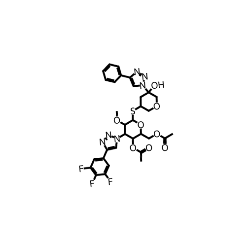 COC1C(SC2COCC(O)(n3cc(-c4ccccc4)nn3)C2)OC(COC(C)=O)C(OC(C)=O)C1n1cc(-c2cc(F)c(F)c(F)c2)nn1